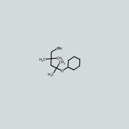 CC(C)(C)CC(C)(C)CC(C)(C)OC1CCCCC1